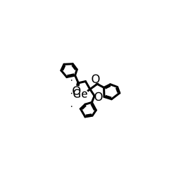 O=C(C[C]([Ge])(C(=O)c1ccccc1)C(=O)c1ccccc1)c1ccccc1